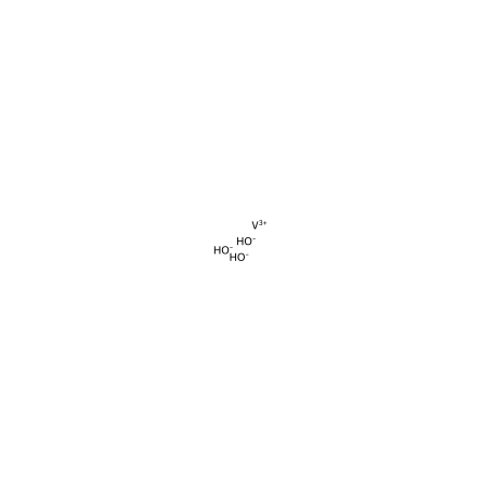 [OH-].[OH-].[OH-].[V+3]